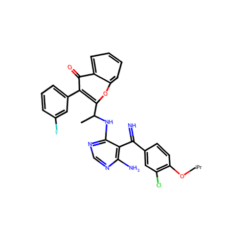 CC(C)Oc1ccc(C(=N)c2c(N)ncnc2NC(C)c2oc3ccccc3c(=O)c2-c2cccc(F)c2)cc1Cl